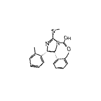 CSC1=N[C@@H](c2ccccc2C)[C@@H](c2ccccc2C)N1C(=O)O